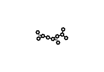 C1=CC(c2ccc3c(c2)c2ccc(-c4cc(-c5ccccc5)cc(-c5ccccc5)c4)cc2n3-c2ccccc2)CC=C1c1ccc2c(c1)c1ccccc1n2-c1ccccc1